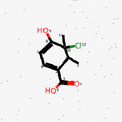 CC1C(C(=O)O)=CC=C(O)C1(C)Cl